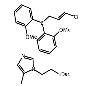 CCCCCCCCCCCCn1cncc1C.COc1ccccc1B(CC=CCl)c1ccccc1OC